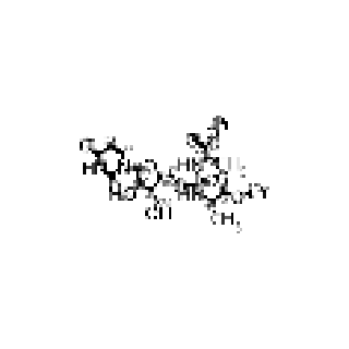 CC(C)OC(=O)[C@H](C)N[P@@](=O)(N[C@H](C)C(=O)OC(C)C)OC[C@H]1O[C@@H](n2ccc(=O)[nH]c2=O)[C@H](O)[C@@H]1CO